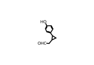 O=CCC1CC1c1ccc(O)cc1